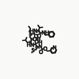 CCC[C@H](C[C@H](O)[C@H](CC(C)C)NC(=O)[C@H](CSC)NC(=O)OCc1cccnc1)C(=O)N[C@H](C(=O)NCc1ccccc1)C(C)C